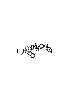 NC(=O)c1sc2ccccc2c1C1CN(S(=O)(=O)c2ccc(Oc3ccncc3)cc2)CCO1